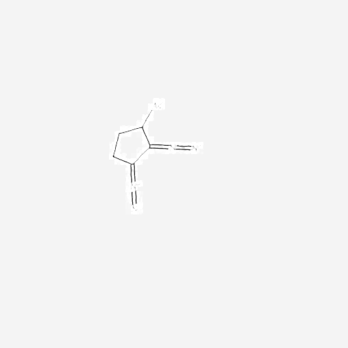 CC(=O)C1CCC(=[N+]=[N-])C1=[N+]=[N-]